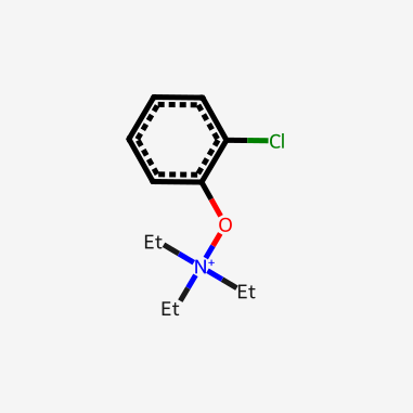 CC[N+](CC)(CC)Oc1ccccc1Cl